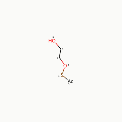 CC(=O)SOCCO